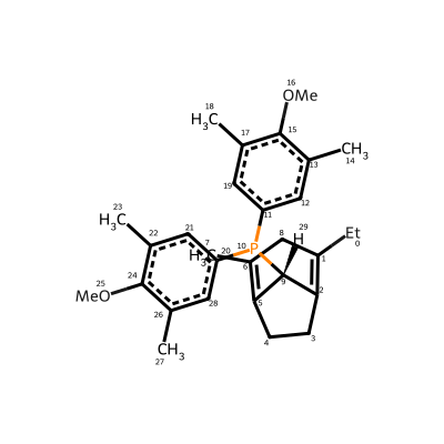 CCC1=C2CCC(=C(C)C1)[C@@H]2P(c1cc(C)c(OC)c(C)c1)c1cc(C)c(OC)c(C)c1